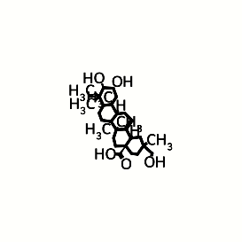 CC1(CO)CC[C@]2(C(=O)O)CC[C@]3(C)C(=CC[C@@H]4[C@@]5(C)C[C@@H](O)[C@H](O)C(C)(C)C5CC[C@]43C)[C@H]2C1